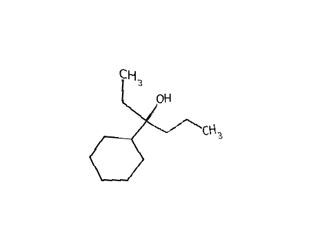 CCCC(O)(CC)C1CCCCC1